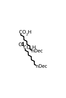 C1CO1.CCCCCCCCCCCCCCCCCC(=O)O.CCCCCCCCCCCCCCCCCC(=O)O